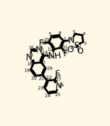 O=S1(=O)CCCN1c1ccc(F)c(Nc2ncnc3ccc(-c4cccnc4F)cc23)c1F